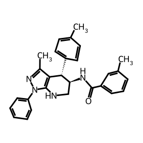 Cc1ccc([C@H]2c3c(C)nn(-c4ccccc4)c3NC[C@@H]2NC(=O)c2cccc(C)c2)cc1